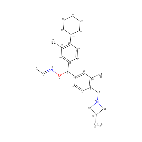 CC=NOC(c1ccc(CN2CC(C(=O)O)C2)c(CC)c1)c1ccc(C2CCCCC2)c(CC)c1